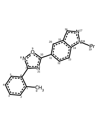 Cc1ccccc1-c1noc(-c2ccc3c(cnn3C(C)C)c2)n1